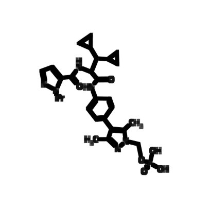 Cc1nn(COP(=O)(O)O)c(C)c1-c1ccc(NC(=O)C(NC(=O)c2ccnn2C(C)C)C(C2CC2)C2CC2)cc1